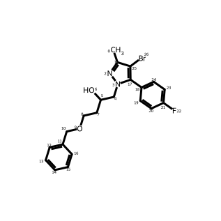 Cc1nn(CC(O)CCOCc2ccccc2)c(-c2ccc(F)cc2)c1Br